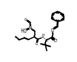 CCCCC(CN(O)C=O)C(=O)N[C@H](C(=O)OCc1ccccc1)C(C)(C)C